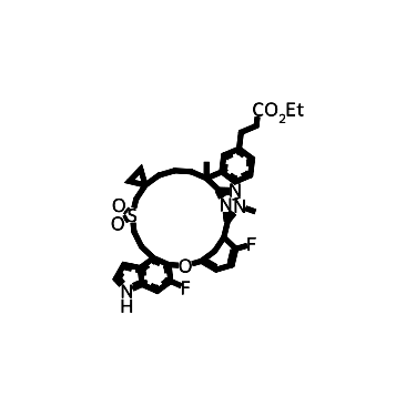 CCOC(=O)CCc1cccc(C2(C)CCCC3(CC3)CS(=O)(=O)CCc3c(c(F)cc4[nH]ccc34)OC3=CC=C(F)C(C3)c3nc2nn3C)c1